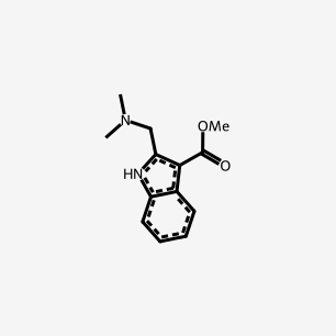 COC(=O)c1c(CN(C)C)[nH]c2ccccc12